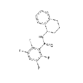 O=C(NC1CCCc2ccccc21)c1c(F)c(F)cc(F)c1F